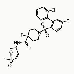 C[C@H](/C=C\S(C)(=O)=O)NC(=O)C1(F)CCN(S(=O)(=O)c2ccc(Cl)cc2-c2ccccc2Cl)CC1